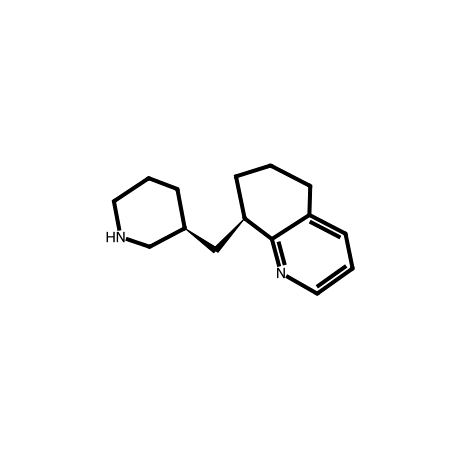 c1cnc2c(c1)CCC[C@@H]2C[C@@H]1CCCNC1